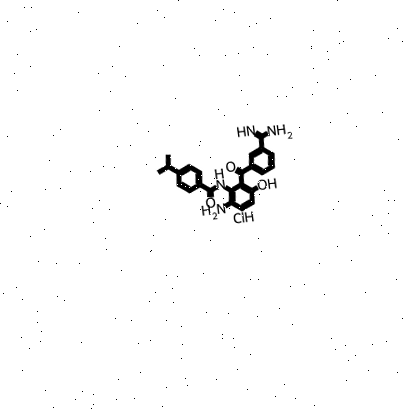 CC(C)c1ccc(C(=O)Nc2c(N)ccc(O)c2C(=O)c2cccc(C(=N)N)c2)cc1.Cl